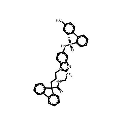 O=C(NCC(F)(F)F)C1(CCCn2cnc3cc(NS(=O)(=O)c4ccccc4-c4ccc(C(F)(F)F)cc4)ccc32)c2ccccc2-c2ccccc21